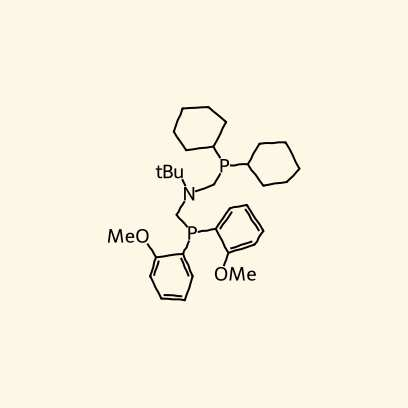 COc1ccccc1P(CN(CP(C1CCCCC1)C1CCCCC1)C(C)(C)C)c1ccccc1OC